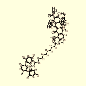 Cc1cc(C)cc([PH](CCCCCCCCCCCC(=O)Nc2ccc3c(c2O)C(=O)C2=C(O)[C@]4(O)C(=O)C(C(N)=O)=C(O)[C@@H](N(C)C)[C@@H]4[C@@H](O)[C@@H]2[C@H]3C)(c2cc(C)cc(C)c2)c2cc(C)cc(C)c2)c1